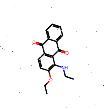 CCNc1c(OCC)ccc2c1C(=O)c1ccccc1C2=O